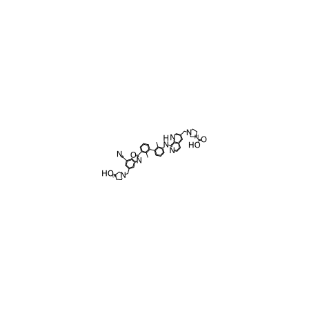 Cc1c(Nc2nccc3cc(CN4CC[C@@H](C(=O)O)C4)cnc23)cccc1-c1cccc(-c2nc3cc(CN4CC[C@@H](O)C4)cc(C#N)c3o2)c1C